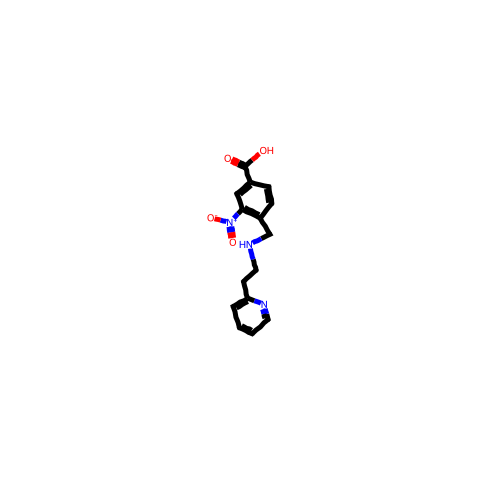 O=C(O)c1ccc(CNCCc2ccccn2)c([N+](=O)[O-])c1